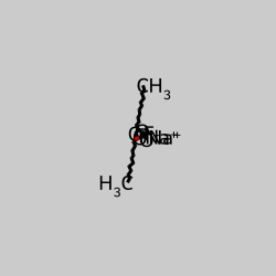 CCCCCCCCCCCCOCCCCCCCCCCCC.O=P([O-])([O-])F.[Na+].[Na+]